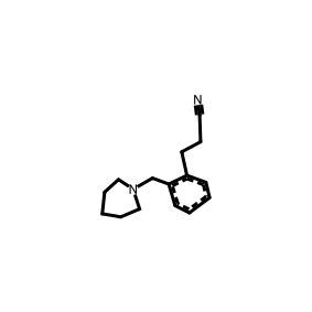 N#CCCc1ccccc1CN1CCCCC1